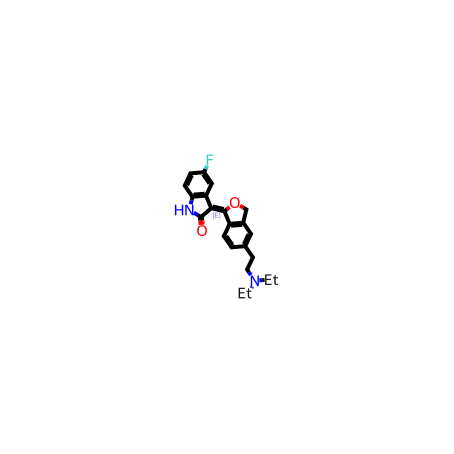 CCN(CC)CCc1ccc2c(c1)CO/C2=C1/C(=O)Nc2ccc(F)cc21